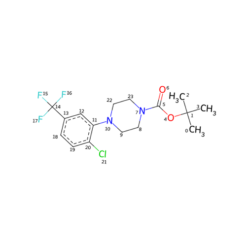 CC(C)(C)OC(=O)N1CCN(c2cc(C(F)(F)F)ccc2Cl)CC1